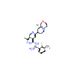 Cc1nnc(N[C@H](N)c2cccc(C(F)(F)F)c2F)c2cc(C3CCN4CCOC[C@@H]4C3)ncc12